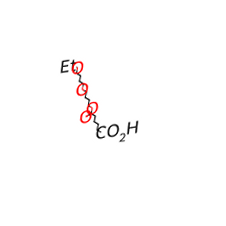 CCOCCCCOCCCCOC(=O)CCCCC(=O)O